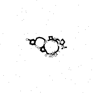 C[C@@H]1[C@@H](C)CCC[C@](O)(CN2CC[C@@H](N(C)C)C2)[C@@H]2CCC2CN2CCCCc3cc(Cl)ccc3COc3ccc(cc32)C(=O)NS1(=O)=O